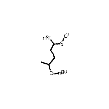 CCCCOC(C)CCC(CCC)SCl